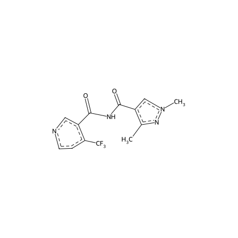 Cc1nn(C)cc1C(=O)NC(=O)c1cnccc1C(F)(F)F